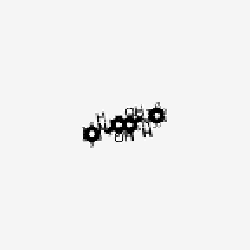 Oc1c(CNC2CCCCC2)ccc2c(O)c(CNC3CCCCC3)ccc12